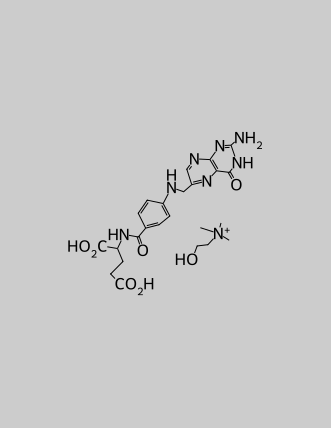 C[N+](C)(C)CCO.Nc1nc2ncc(CNc3ccc(C(=O)NC(CCC(=O)O)C(=O)O)cc3)nc2c(=O)[nH]1